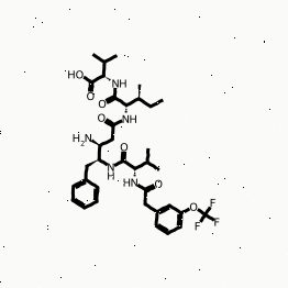 CC[C@H](C)[C@H](NC(=O)C[C@H](N)[C@H](Cc1ccccc1)NC(=O)[C@@H](NC(=O)Cc1cccc(OC(F)(F)F)c1)C(C)C)C(=O)N[C@H](C(=O)O)C(C)C